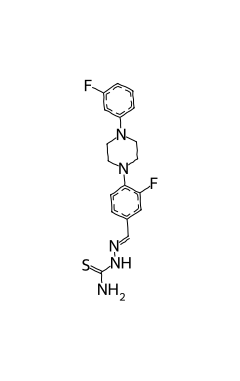 NC(=S)NN=Cc1ccc(N2CCN(c3cccc(F)c3)CC2)c(F)c1